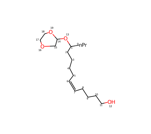 CCCC(CCCC/C=C\CCCCO)OC1COCCO1